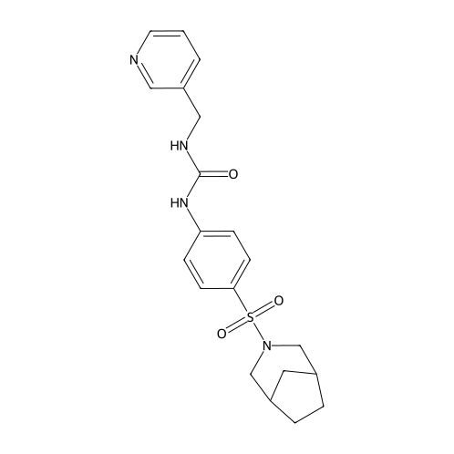 O=C(NCc1cccnc1)Nc1ccc(S(=O)(=O)N2CC3CCC(C3)C2)cc1